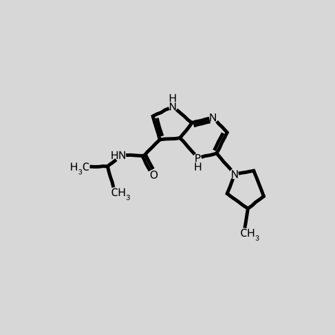 CC1CCN(C2=CN=C3NC=C(C(=O)NC(C)C)C3P2)C1